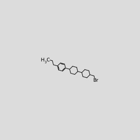 CCCc1ccc(C2CCC(C3CCC(CBr)CC3)CC2)cc1